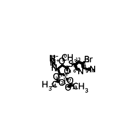 CO[C@H]1C(Sc2cnc(C#N)c(Br)c2)O[C@H](COC(C)=O)[C@H](OC(C)=O)[C@@H]1N=[N+]=[N-]